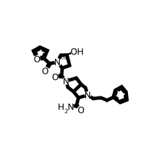 NC(=O)C1C2CN(C(=O)C3C[C@H](O)CN3C(=O)c3ccco3)CC2CN1CC[CH]c1ccccc1